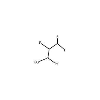 CCC(C)N(C(C)C)C(F)C(F)F